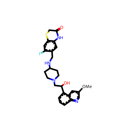 COc1cnc2cccc(C(O)CN3CCC(NCc4cc5c(cc4F)SCC(=O)N5)CC3)c2c1